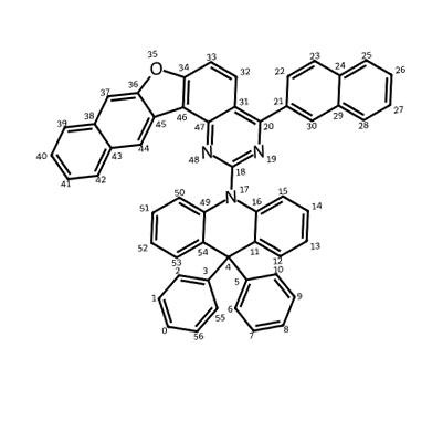 c1ccc(C2(c3ccccc3)c3ccccc3N(c3nc(-c4ccc5ccccc5c4)c4ccc5oc6cc7ccccc7cc6c5c4n3)c3ccccc32)cc1